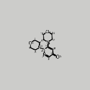 O=c1cnn(N2CCOCC2)c(N2CCOCC2)c1